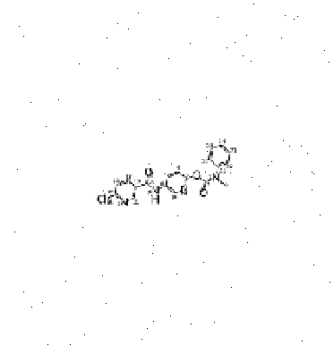 CN(C(=O)Oc1ccc(NC(=O)c2ccc(Cl)nc2)cn1)c1ccccc1